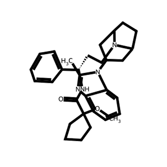 COC1(C(=O)N[C@@H](CCN2C3CCC2CC(n2c(C)nc4ccccc42)C3)c2ccccc2)CCCC1